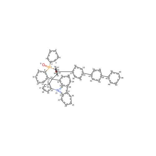 O=P1(c2ccccc2)c2ccccc2C2(c3ccccc3-n3c4ccccc4c4cccc2c43)c2cc(-c3ccc(-c4ccc(-c5ccccc5)cc4)cc3)ccc21